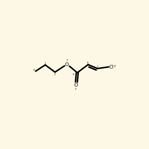 CCCOC(=O)C=CCl